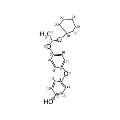 CC(Oc1ccc(Oc2ccc(O)cc2)cc1)OC1CCCCC1